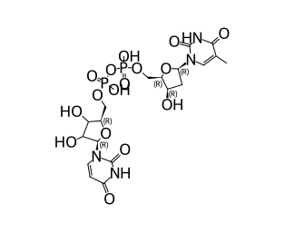 Cc1cn([C@H]2C[C@@H](O)[C@@H](COP(=O)(O)OP(=O)(O)OC[C@H]3O[C@@H](n4ccc(=O)[nH]c4=O)C(O)C3O)O2)c(=O)[nH]c1=O